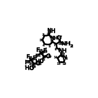 N=C1CCCCC(C(CNC2=NCCC2)C(N)=O)N1.O=C(O)C(F)(F)F.O=C(O)C(F)(F)F